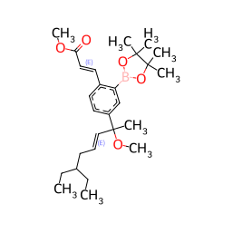 CCC(CC)C/C=C/C(C)(OC)c1ccc(/C=C/C(=O)OC)c(B2OC(C)(C)C(C)(C)O2)c1